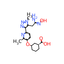 Cc1nc(-c2nnn(C)c2C/C(N)=N/O)ccc1OC1CCC[C@H](C(=O)O)C1